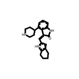 O=C1Nc2cccc(C3CCNCC3)c2C1=Cc1cc2c([nH]1)CCCC2